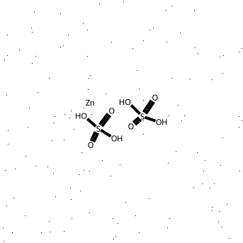 O=S(=O)(O)O.O=S(=O)(O)O.[Zn]